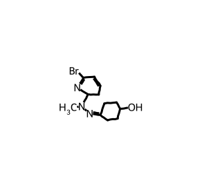 CN(N=C1CCC(O)CC1)C1CC=CC(Br)=N1